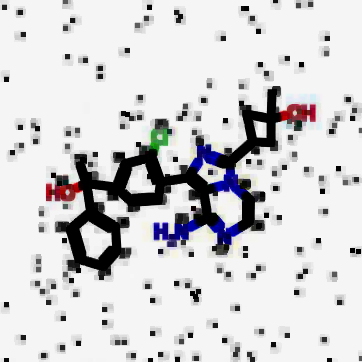 CC1(O)CC(c2nc(-c3ccc(C(C)(O)c4ccccc4)cc3Cl)c3c(N)nccn23)C1